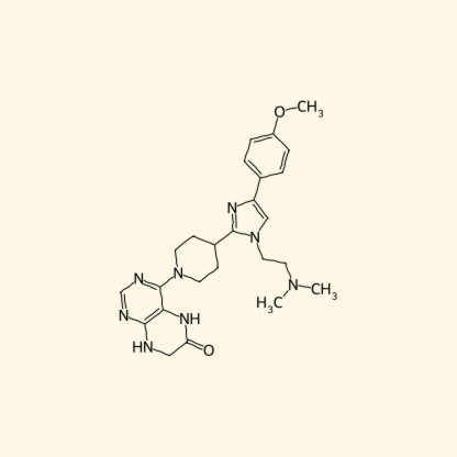 COc1ccc(-c2cn(CCN(C)C)c(C3CCN(c4ncnc5c4NC(=O)CN5)CC3)n2)cc1